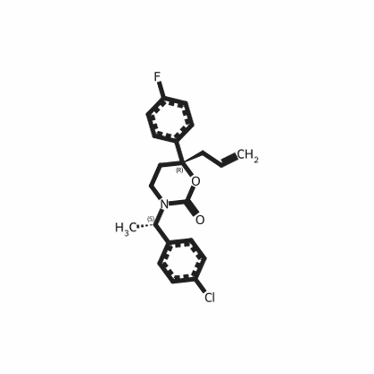 C=CC[C@]1(c2ccc(F)cc2)CCN([C@@H](C)c2ccc(Cl)cc2)C(=O)O1